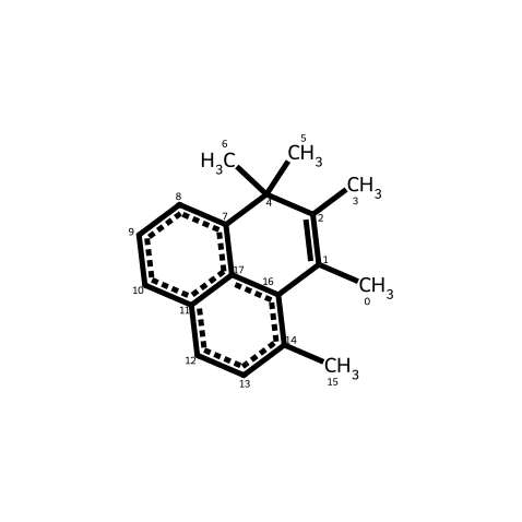 CC1=C(C)C(C)(C)c2cccc3ccc(C)c1c23